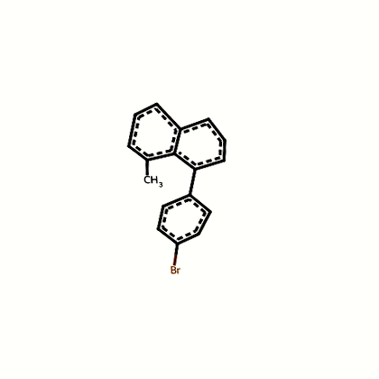 Cc1cccc2cccc(-c3ccc(Br)cc3)c12